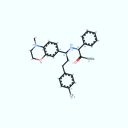 CNC(=O)[C@@H](N[C@@H](CCc1ccc(C(F)(F)F)cc1)c1ccc2c(c1)OCCN2C)c1ccccc1